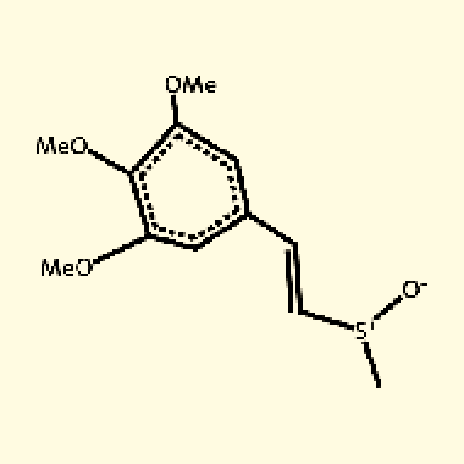 COc1cc(C=C[S+](C)[O-])cc(OC)c1OC